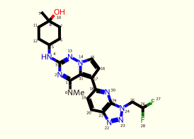 CNc1nc(NC2CCC(C)(O)CC2)nn2ccc(-c3ccc4nnn(CC(F)F)c4n3)c12